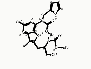 Cc1c(CC(CO)NC(=O)OC(C)(C)C)sc2c(N(Cc3ccco3)C(=O)OC(C)(C)C)nc(Cl)nc12